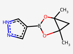 CC12CC1(C)OB(c1cn[nH]c1)O2